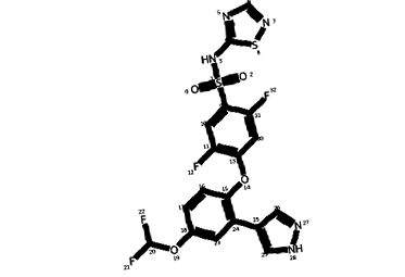 O=S(=O)(Nc1ncns1)c1cc(F)c(Oc2ccc(OC(F)F)cc2-c2cn[nH]c2)cc1F